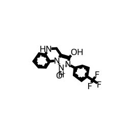 [O-][NH+]1N(c2ccc(C(F)(F)F)cc2)C(O)=C2CNc3ccccc3N21